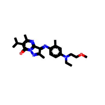 CCN(CCOC)c1ccc(N=C2C(C)=Nn3c2nc(C)c(C(C)C)c3=O)c(C)c1